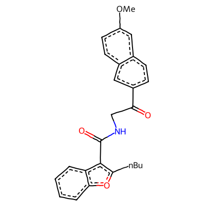 CCCCc1oc2ccccc2c1C(=O)NCC(=O)c1ccc2cc(OC)ccc2c1